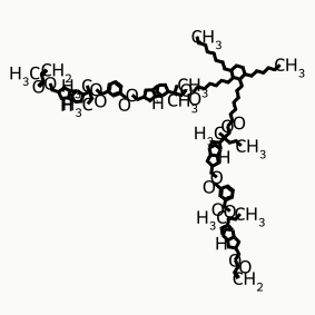 C=CC(=O)OCC1CC2C3CC(CC3C(C)(CC)OC(=O)c3cccc(C(=O)OCC4CC5C6CC(C(C(C)(CCC)COC(=O)CCCCCCC7C(CCCCCC)CCC(CCCCCCCC)C7CCCCCCC(=O)OCC(C)(CC)C7CC8CC7[C@H]7CC(COC(=O)c9cccc(C(=O)OC(C)(CC)C%10CC%11CC%10C%10CC(COC(=O)C(=C)C)C[C@H]%11%10)c9)CC87)C6)[C@H]5C4)c3)[C@H]2C1